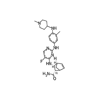 Cc1cc(Nc2ncc(F)c(N[C@@H]3[C@H]4C=CC(C4)[C@@H]3C(N)=O)n2)ccc1NC1CCN(C)CC1